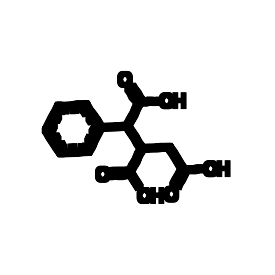 O=C(O)CC(C(=O)O)C(C(=O)O)c1ccccc1